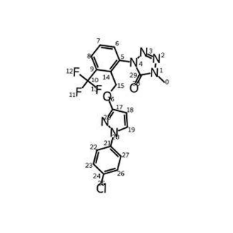 Cn1nnn(-c2cccc(C(F)(F)F)c2COc2ccn(-c3ccc(Cl)cc3)n2)c1=O